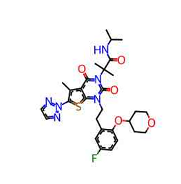 Cc1c(-n2nccn2)sc2c1c(=O)n(C(C)(C)C(=O)NC(C)C)c(=O)n2CCc1cc(F)ccc1OC1CCOCC1